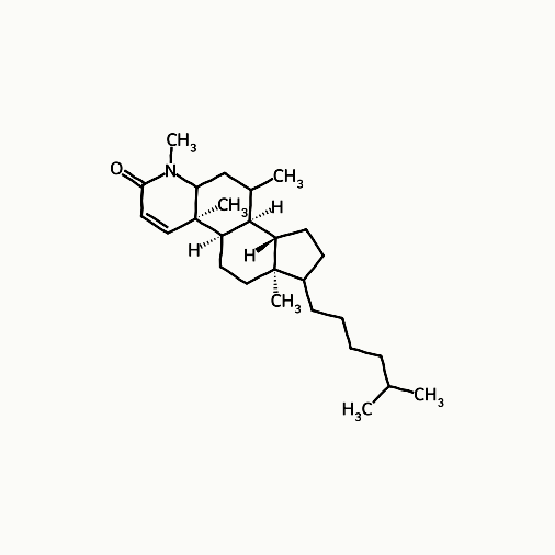 CC(C)CCCCC1CC[C@H]2[C@@H]3C(C)CC4N(C)C(=O)C=C[C@]4(C)[C@@H]3CC[C@]12C